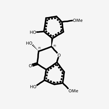 COc1cc(O)c2c(c1)O[C@H](c1cc(OC)ccc1O)[C@@H](O)C2=O